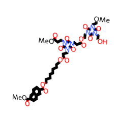 COCCn1c(=O)n(CCO)c(=O)n(CCOC(=O)CCn2c(=O)n(CCC(=O)OC)c(=O)n(CCC(=O)OCCCCCCCCCOC(=O)c3ccc4cc(C(=O)OC)ccc4c3)c2=O)c1=O